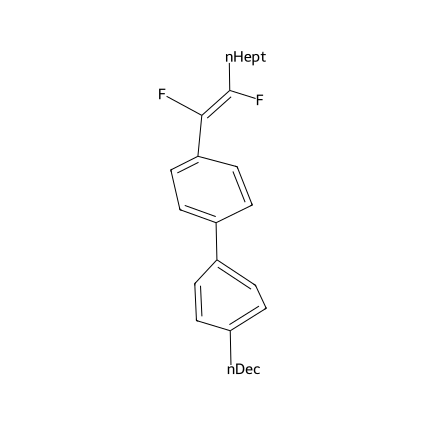 CCCCCCCCCCc1ccc(-c2ccc(C(F)=C(F)CCCCCCC)cc2)cc1